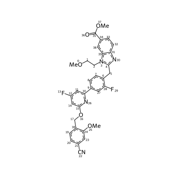 COCCn1c(Cc2ccc(-c3cc(F)cc(OCc4ccc(C#N)cc4OC)n3)cc2F)nc2ccc(C(=O)OC)cc21